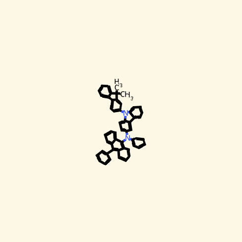 CC1(C)c2ccccc2-c2ccc(-n3c4ccccc4c4cc(N(c5ccccc5)c5c6ccccc6c(-c6ccccc6)c6ccccc56)ccc43)cc21